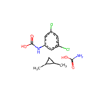 CC1CC1C.NC(=O)O.O=C(O)Nc1cc(Cl)cc(Cl)c1